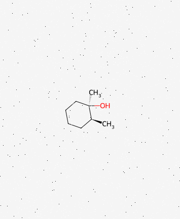 C[C@H]1CCCC[C@@]1(C)O